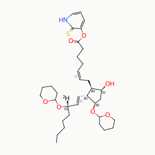 [2H][C@@](/C=C/[C@@H]1[C@@H](C/C=C\CCCC(=O)Oc2ccc[nH]c2=S)[C@@H](O)C[C@H]1OC1CCCCO1)(CCCCC)OC1CCCCO1